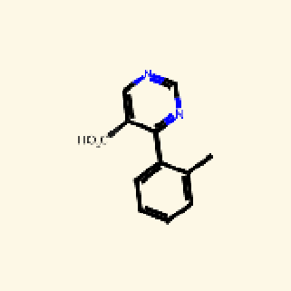 Cc1ccccc1-c1ncncc1C(=O)O